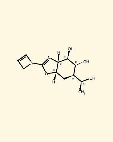 C[C@H](O)[C@H]1C[C@@H]2OC(N3C=CC3)=N[C@@H]2[C@@H](O)[C@@H]1O